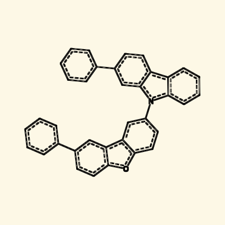 c1ccc(-c2ccc3oc4ccc(-n5c6ccccc6c6ccc(-c7ccccc7)cc65)cc4c3c2)cc1